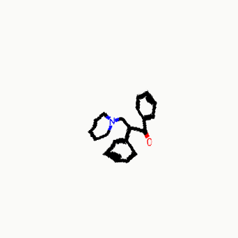 O=C(c1ccccc1)C(CN1CCCCC1)c1ccccc1